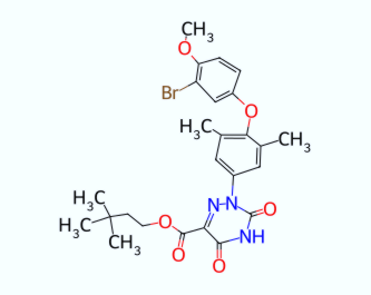 COc1ccc(Oc2c(C)cc(-n3nc(C(=O)OCCC(C)(C)C)c(=O)[nH]c3=O)cc2C)cc1Br